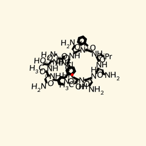 CC(C)C[C@@H]1NC(=O)[C@@H](Cc2ccccc2)NC(=O)[C@H](CCN)NC(=O)[C@@H](NC(=O)[C@@H](CN)NC(=O)[C@@H](NC(=O)[C@H](CCN)NC(=O)c2ccnc(-c3cccc(Cl)c3)c2)[C@@H](C)O)CCNC(=O)[C@H]([C@@H](C)O)NC(=O)[C@H](CCN)NC(=O)[C@H](CCN)NC1=O